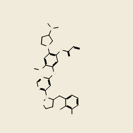 C=CC(=O)Nc1cc(Nc2cc(N3OCCC3Cc3cccc(Cl)c3Cl)ncn2)c(OC)cc1N1CCC(N(C)C)C1